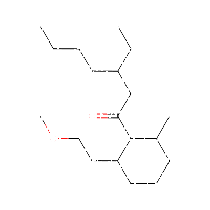 CCCCC(CC)CC(=O)C1C(C)CCCC1CCOC